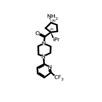 CC(C)[C@]1(C(=O)N2CCN(c3cccc(C(F)(F)F)n3)CC2)CC[C@@H](N)C1